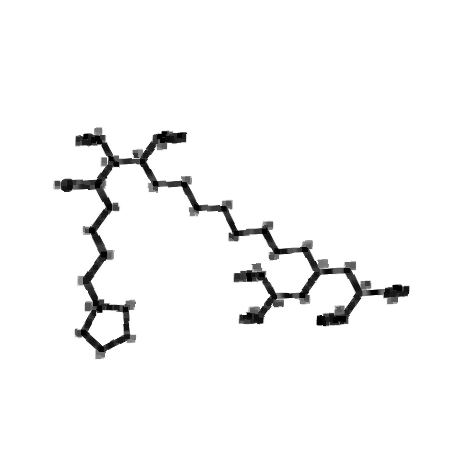 CCCCCCCCCCN(C(=O)CCCCN1CCCC1)C(CCCCCCCCC)CCCCCCCCC(CC(CCCC)CCCCCC)CC(CCCC)CCCCCC